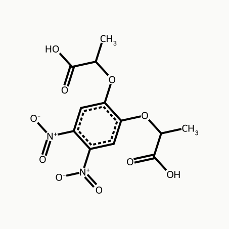 CC(Oc1cc([N+](=O)[O-])c([N+](=O)[O-])cc1OC(C)C(=O)O)C(=O)O